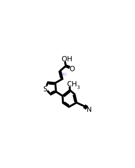 Cc1cc(C#N)ccc1-c1cscc1/C=C/C(=O)O